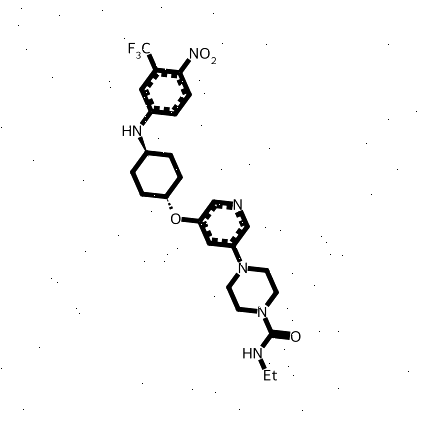 CCNC(=O)N1CCN(c2cncc(O[C@H]3CC[C@H](Nc4ccc([N+](=O)[O-])c(C(F)(F)F)c4)CC3)c2)CC1